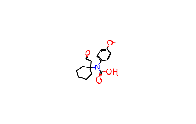 COc1ccc(N(C(=O)O)C2(CC=O)CCCCC2)cc1